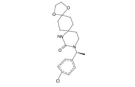 C[C@@H](c1ccc(Cl)cc1)N1CCC2(CCC3(CC2)OCCO3)NC1=O